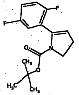 CC(C)(C)OC(=O)N1CCC=C1c1cc(F)ccc1F